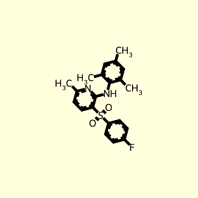 Cc1cc(C)c(Nc2nc(C)ccc2S(=O)(=O)c2ccc(F)cc2)c(C)c1